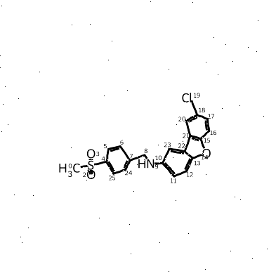 CS(=O)(=O)c1ccc(CNc2ccc3oc4ccc(Cl)cc4c3c2)cc1